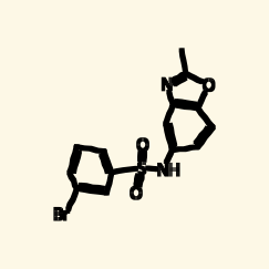 Cc1nc2cc(NS(=O)(=O)c3cccc(Br)c3)ccc2o1